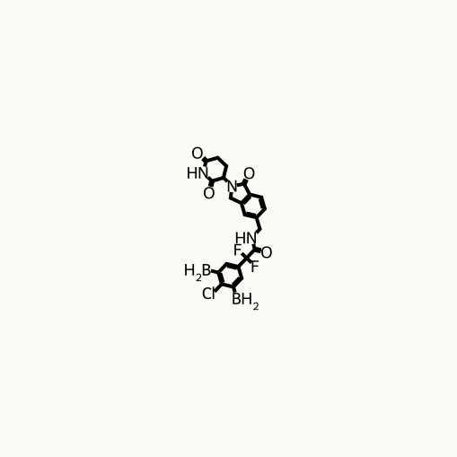 Bc1cc(C(F)(F)C(=O)NCc2ccc3c(c2)CN(C2CCC(=O)NC2=O)C3=O)cc(B)c1Cl